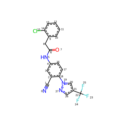 N#Cc1cc(NC(=O)Cc2ccccc2Cl)ccc1-n1cc(C(F)(F)F)cn1